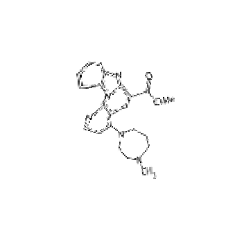 COC(=O)c1cc2c(N3CCCN(C)CC3)ccnc2n2c1nc1ccccc12